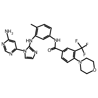 Cc1ccc(NC(=O)c2ccc(N3CCOCC3)c(C(F)(F)F)c2)cc1Nc1nccn1-c1cc(N)ncn1